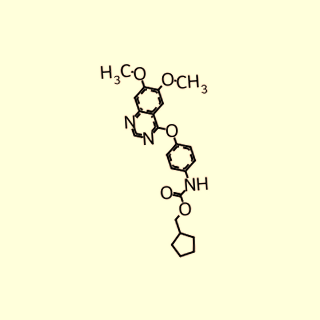 COc1cc2ncnc(Oc3ccc(NC(=O)OCC4CCCC4)cc3)c2cc1OC